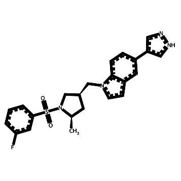 C[C@@H]1C[C@H](Cn2ccc3cc(-c4cn[nH]c4)ccc32)CN1S(=O)(=O)c1cccc(F)c1